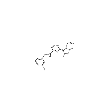 Cc1cc2ccccc2n1-c1ncnc(NCc2cccc(F)c2)n1